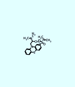 CC(CN1c2ccccc2Sc2ccc(S(=O)(=O)N(C)C)cc21)N(C)C